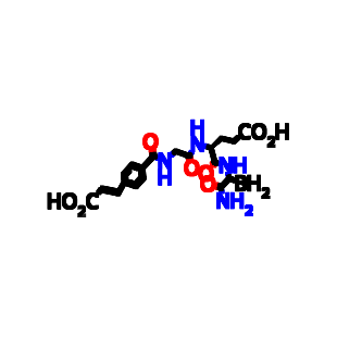 BC(NC(=O)[C@H](CCC(=O)O)NC(=O)CNC(=O)c1ccc(/C=C/C(=O)O)cc1)C(N)=O